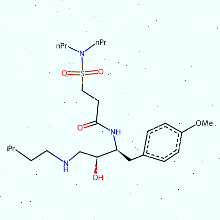 CCCN(CCC)S(=O)(=O)CCC(=O)N[C@@H](Cc1ccc(OC)cc1)[C@@H](O)CNCCC(C)C